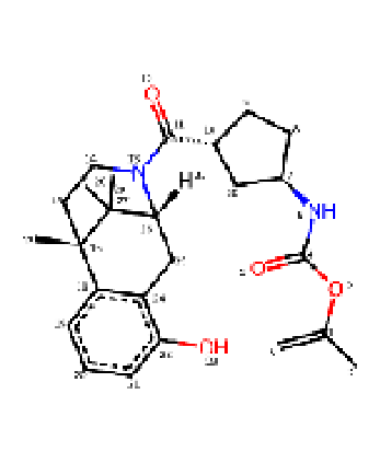 C=C(C)OC(=O)N[C@@H]1CC[C@@H](C(=O)N2CC[C@@]3(C)c4cccc(O)c4C[C@@H]2C3(C)C)C1